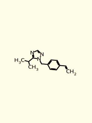 C=Cc1ccc(Cn2ncnc2C(C)C)cc1